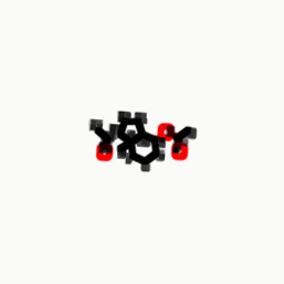 CC(=O)O[C@@H]1CCCC2(C)C1CC[C@H]2C(C)=O